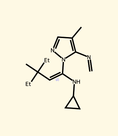 C=Nc1c(C)cnn1/C(=C\C(C)(CC)CC)NC1CC1